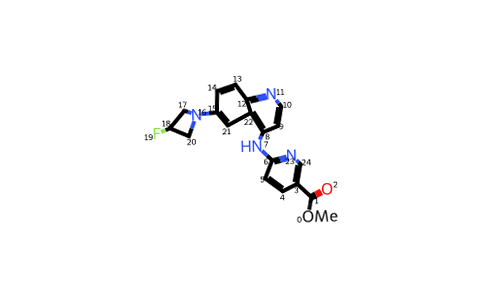 COC(=O)c1ccc(Nc2ccnc3ccc(N4CC(F)C4)cc23)nc1